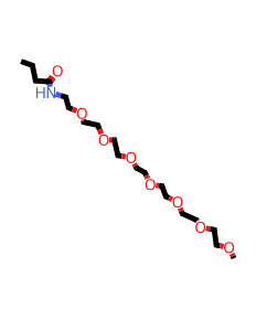 CCCC(=O)NCCOCCOCCOCCOCCOCCOCCOC